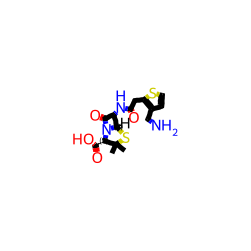 CC1(C)S[C@@H]2C(NC(=O)Cc3sccc3CN)C(=O)N2[C@H]1C(=O)O